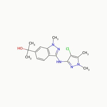 Cc1c(Cl)c(Nc2nn(C)c3cc(C(C)(C)O)ccc23)nn1C